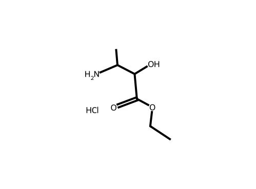 CCOC(=O)C(O)C(C)N.Cl